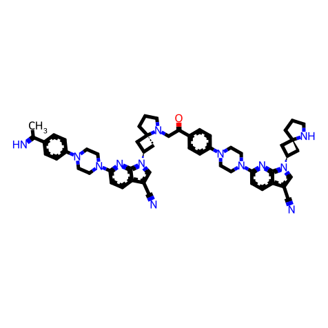 CC(=N)c1ccc(N2CCN(c3ccc4c(C#N)cn([C@H]5C[C@@]6(CCCN6CC(=O)c6ccc(N7CCN(c8ccc9c(C#N)cn([C@H]%10C[C@]%11(CCCN%11)C%10)c9n8)CC7)cc6)C5)c4n3)CC2)cc1